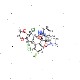 C[C@H]1c2c(cc(F)c(Cl)c2-c2c(F)c3c(c(Cl)c2C(N)=O)OCCO3)O[C@@]1(c1ccccc1)[C@@H]1CCCN1